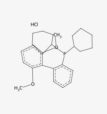 COc1cccc(OC)c1-c1ccccc1P(C1CCCCC1)C1CCCCC1.Cl